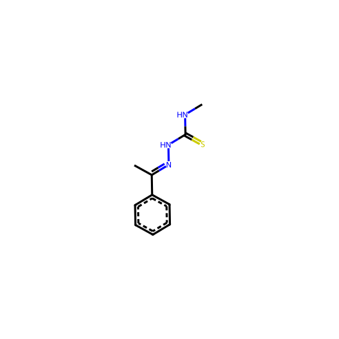 CNC(=S)N/N=C(\C)c1ccccc1